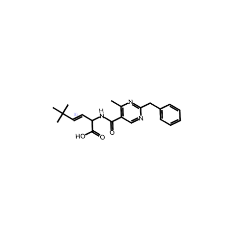 Cc1nc(Cc2ccccc2)ncc1C(=O)NC(/C=C/C(C)(C)C)C(=O)O